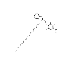 Cc1c(C(N)=O)cc(Cl)c(OCc2nc3ccccc3n2CCCCCCCCCCCCCCCC(=O)O)c1Cl